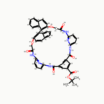 CC(C)(C)OC(=O)c1cc2cc(c1)C(=O)Nc1cccc(n1)NC(=O)COc1ccc3ccccc3c1-c1c(ccc3ccccc13)OCC(=O)Nc1cccc(n1)NC2=O